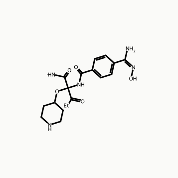 CCC(=O)C(NC(=O)c1ccc(/C(N)=N\O)cc1)(OC1CCNCC1)C([NH])=O